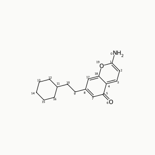 Nc1ccc2c(=O)cc(CCC3CCCCC3)cc-2o1